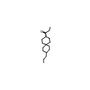 CCCC1CCC2(CC1)CCC(C(=O)CC)CC2